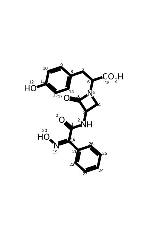 O=C(NC1CN(C(Cc2ccc(O)cc2)C(=O)O)C1=O)/C(=N\O)c1ccccc1